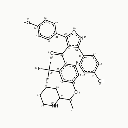 CC(Oc1ccc(C(=O)c2c(-c3ccc(O)cc3)noc2-c2ccc(O)cc2)c(C(F)(F)F)c1)C1CCCCN1